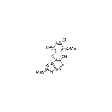 COc1cc(Sc2c(C#N)cnc3nc(SC)sc23)c(Cl)cc1Cl